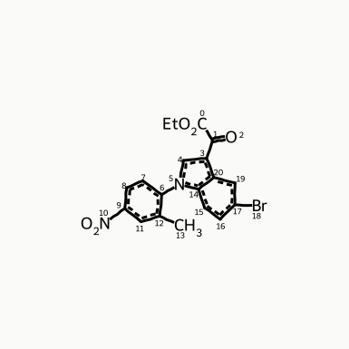 CCOC(=O)C(=O)c1cn(-c2ccc([N+](=O)[O-])cc2C)c2ccc(Br)cc12